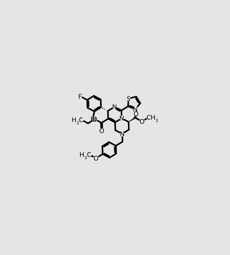 CCOC(=O)C1=C2CN(Cc3ccc(OC)cc3)C[C@H](C(=O)OC)N2C(c2nccs2)=N[C@H]1c1ccc(F)cc1Br